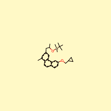 Cc1cc(CC(C)O[Si](C)(C)C(C)(C)C)cc2c1ccc1ccc(OCC3CC3)cc12